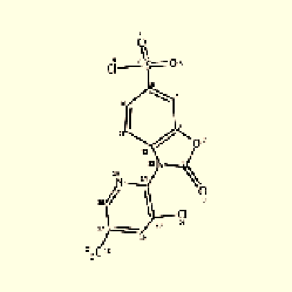 O=c1oc2cc(S(=O)(=O)Cl)ccc2n1-c1ncc(C(F)(F)F)cc1Cl